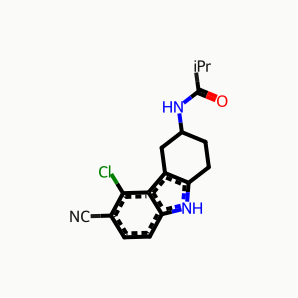 CC(C)C(=O)NC1CCc2[nH]c3ccc(C#N)c(Cl)c3c2C1